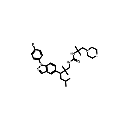 CC(C)CC(c1ccc2c(cnn2-c2ccc(F)cc2)c1)C(C)(C)CNC(=O)NC(C)(C)CN1CCOCC1